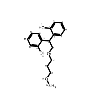 Oc1ccccc1C(COCCCO[SiH3])c1ccccc1O